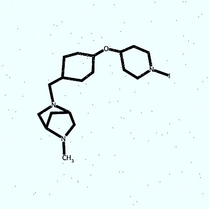 CN1CC2CC1CN2CC1CCC(OC2CCN(I)CC2)CC1